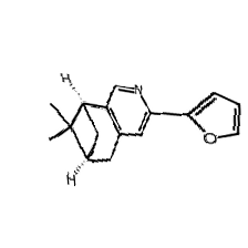 CC1(C)[C@@H]2Cc3cc(-c4ccco4)ncc3[C@H]1C2